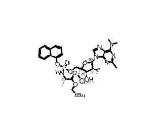 Cc1nc(N(C)C)c2ncn([C@@H]3O[C@](CCl)(COP(=O)(N[C@@H](C)C(=O)OCC(C)(C)C)Oc4cccc5ccccc45)[C@@H](O)[C@@H]3F)c2n1